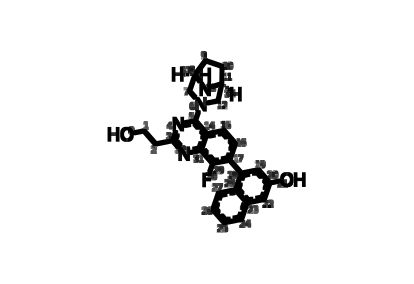 OCCc1nc(N2C[C@H]3CC[C@@H](C2)N3)c2ccc(-c3cc(O)cc4ccccc34)c(F)c2n1